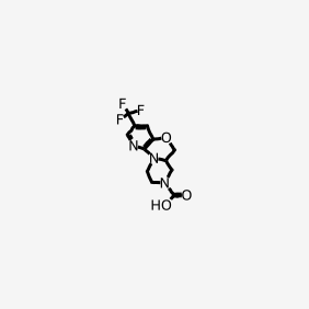 O=C(O)N1CCN2c3ncc(C(F)(F)F)cc3OCC2C1